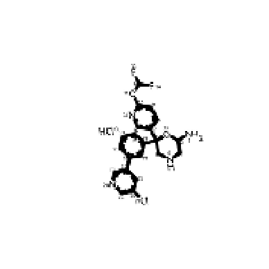 Cl.NC1CNCC(c2ccc(OC(F)F)nc2)(c2cccc(-c3cncc(Cl)c3)c2)O1